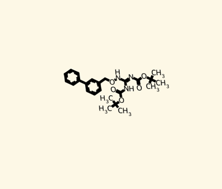 CC(C)(C)OC(=O)/N=C(/NOCc1cccc(-c2ccccc2)c1)NC(=O)OC(C)(C)C